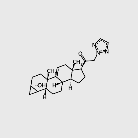 C[C@]12CC=C3[C@@H](CC[C@@H]4C5C[C@@]5(O)CC[C@]34C)[C@@H]1CC[C@@H]2C(=O)Cn1nccn1